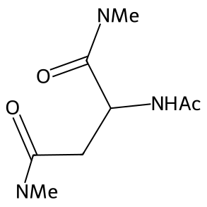 CNC(=O)CC(NC(C)=O)C(=O)NC